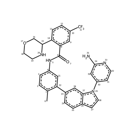 Cc1ccc(NC(=O)c2cc(C(F)(F)F)ccc2C2COCCN2)cc1-c1ccc2ccn(-c3ccnc(N)c3)c2c1